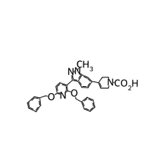 Cn1nc(-c2ccc(OCc3ccccc3)nc2OCc2ccccc2)c2ccc(C3=CCN(C(=O)O)CC3)cc21